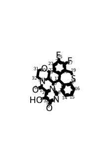 O=C1c2c(O)c(=O)ncn2C(C2c3ccccc3SCc3c2ccc(F)c3F)C2COCCN12